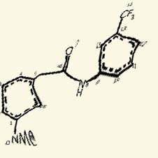 CNc1cccc(C(=O)Nc2cccc(C(F)(F)F)c2)c1